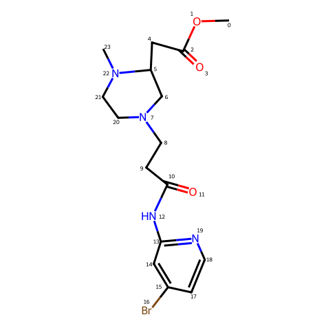 COC(=O)CC1CN(CCC(=O)Nc2cc(Br)ccn2)CCN1C